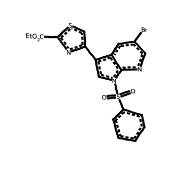 CCOC(=O)c1nc(-c2cn(S(=O)(=O)c3ccccc3)c3ncc(Br)cc23)cs1